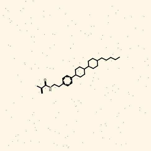 C=C(C)C(=O)NCCc1ccc(C2CCC(C3CCC(CCCCC)CC3)CC2)cc1